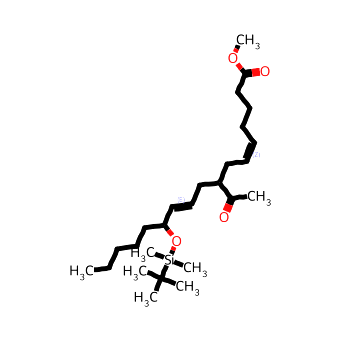 CCCCCC(/C=C/CC(C/C=C\CCCC(=O)OC)C(C)=O)O[Si](C)(C)C(C)(C)C